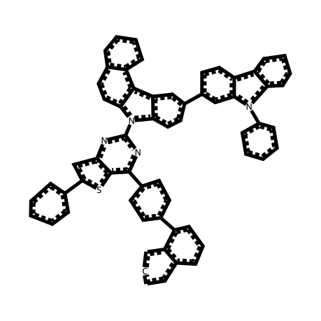 c1ccc(-c2cc3nc(-n4c5ccc(-c6ccc7c8ccccc8n(-c8ccccc8)c7c6)cc5c5c6ccccc6ccc54)nc(-c4ccc(-c5cccc6ccccc56)cc4)c3s2)cc1